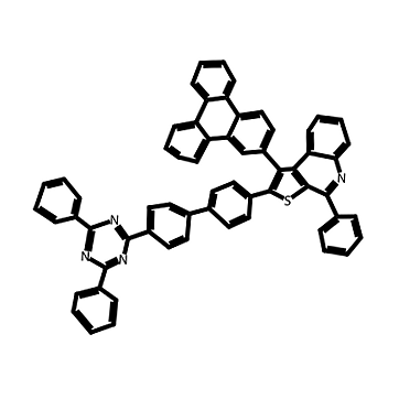 c1ccc(-c2nc(-c3ccccc3)nc(-c3ccc(-c4ccc(-c5sc6c(-c7ccccc7)nc7ccccc7c6c5-c5ccc6c7ccccc7c7ccccc7c6c5)cc4)cc3)n2)cc1